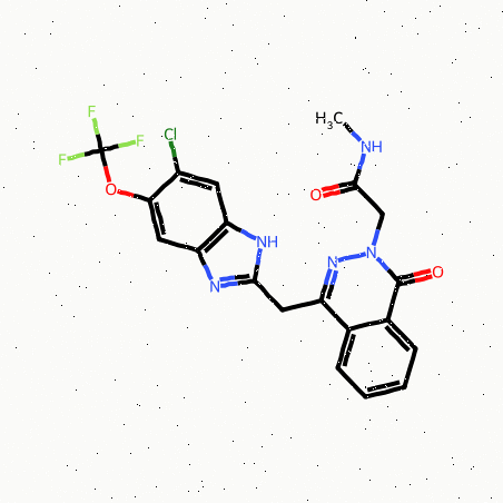 CNC(=O)Cn1nc(Cc2nc3cc(OC(F)(F)F)c(Cl)cc3[nH]2)c2ccccc2c1=O